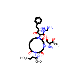 C[C@H](O)[C@H](N)C(=O)[C@@H]1NCC(=O)[C@H](N[C@@H](C=O)CCC(=O)O)NC(=O)CCC=CCN([C@H](C(=O)NCN)C(=O)[C@@H](N)Cc2ccccc2)C1=O